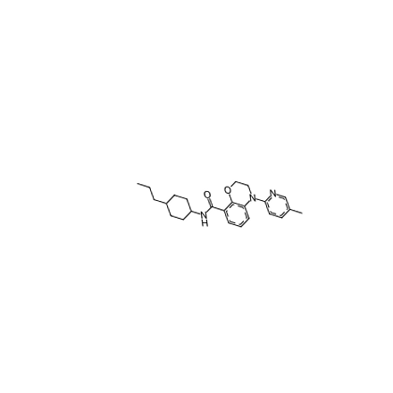 CCCC1CCC(NC(=O)c2cccc3c2OCCN3c2ccc(C)cn2)CC1